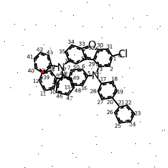 Clc1cc(N(c2ccc(-c3ccccc3)cc2)c2ccc(-c3ccccc3)cc2)c2c(c1)oc1ccc(N(c3ccccc3)c3ccccc3)cc12